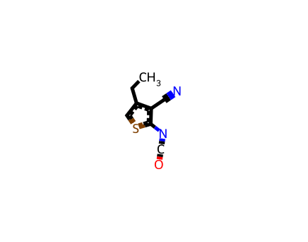 CCc1csc(N=C=O)c1C#N